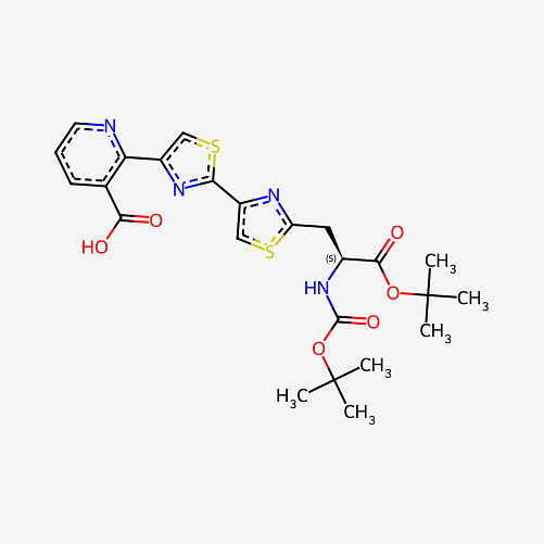 CC(C)(C)OC(=O)N[C@@H](Cc1nc(-c2nc(-c3ncccc3C(=O)O)cs2)cs1)C(=O)OC(C)(C)C